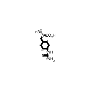 CCCCN(CC1CCC(NC(N)=S)CC1)C(=O)O